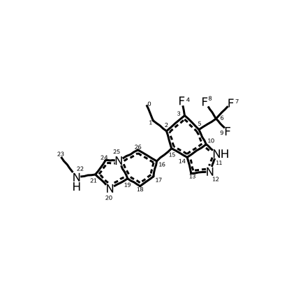 CCc1c(F)c(C(F)(F)F)c2[nH]ncc2c1-c1ccc2nc(NC)cn2c1